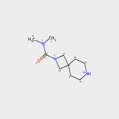 CN(C)C(=O)N1CC2(CCNCC2)C1